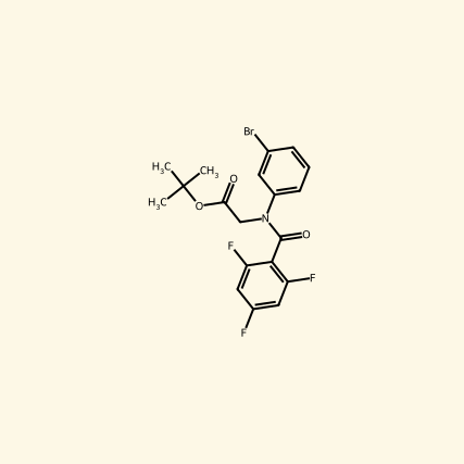 CC(C)(C)OC(=O)CN(C(=O)c1c(F)cc(F)cc1F)c1cccc(Br)c1